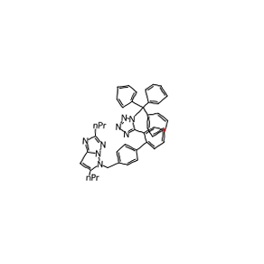 CCCc1nc2cc(CCC)n(Cc3ccc(-c4ccccc4-c4nnnn4C(c4ccccc4)(c4ccccc4)c4ccccc4)cc3)n2n1